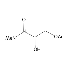 CNC(=O)C(O)COC(C)=O